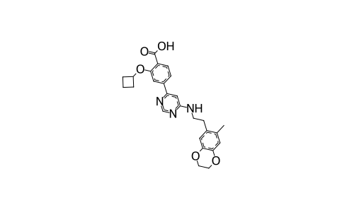 Cc1cc2c(cc1CCNc1cc(-c3ccc(C(=O)O)c(OC4CCC4)c3)ncn1)OCCO2